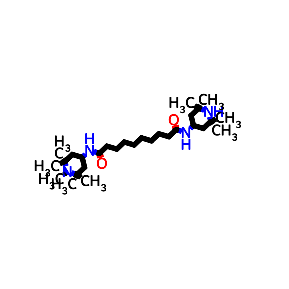 CN1C(C)(C)CC(NC(=O)CCCCCCCCC(=O)NC2CC(C)(C)NC(C)(C)C2)CC1(C)C